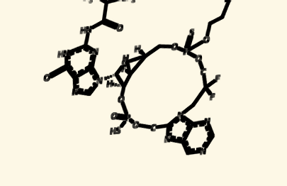 CC(C)C(=O)Nc1nc2c(ncn2[C@@H]2O[C@@H]3COP(=S)(OCCC#N)OCC(F)(F)Cn4c(nc5cncnc54)COP(=O)(S)O[C@@H]2[C@@H]3F)c(=O)[nH]1